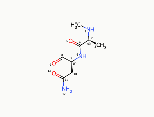 CN[C@@H](C)C(=O)N[C@H](C=O)CC(N)=O